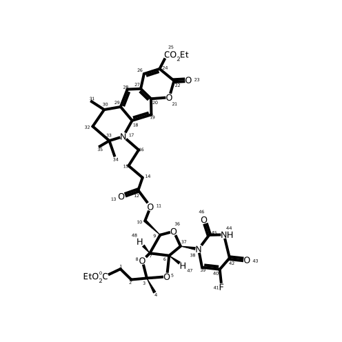 CCOC(=O)CC[C@@]1(C)O[C@@H]2[C@H](O1)[C@@H](COC(=O)CCCN1c3cc4oc(=O)c(C(=O)OCC)cc4cc3C(C)CC1(C)C)O[C@H]2n1cc(F)c(=O)[nH]c1=O